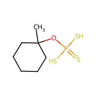 CC1(OP(=S)(S)S)CCCCC1